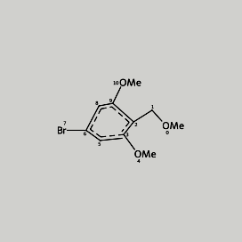 COCc1c(OC)cc(Br)cc1OC